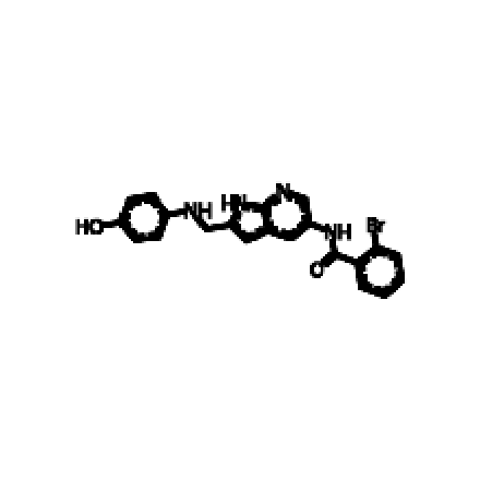 O=C(Nc1cnc2[nH]c(CNc3ccc(O)cc3)cc2c1)c1ccccc1Br